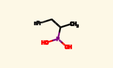 CCCCC(C)P(O)O